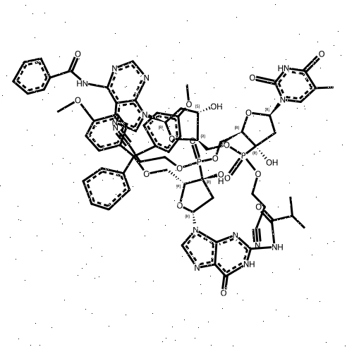 COc1ccc(C(OC[C@H]2O[C@@H](n3cnc4c(=O)[nH]c(NC(=O)C(C)C)nc43)C[C@@]2(O)P(=O)(OCCC#N)OC[C@H]2O[C@@H](n3cc(C)c(=O)[nH]c3=O)C[C@@]2(O)P(=O)(OCCC#N)OC[C@H]2O[C@@H](n3cnc4c(NC(=O)c5ccccc5)ncnc43)C[C@@H]2O)(c2ccccc2)c2ccc(OC)cc2)cc1